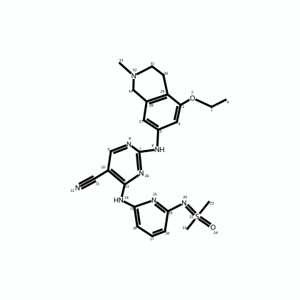 CCOc1cc(Nc2ncc(C#N)c(Nc3cccc(N=S(C)(C)=O)n3)n2)cc2c1CCN(C)C2